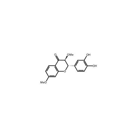 COc1ccc2c(c1)O[C@@H](c1ccc(O)c(O)c1)[C@H](OC)C2=O